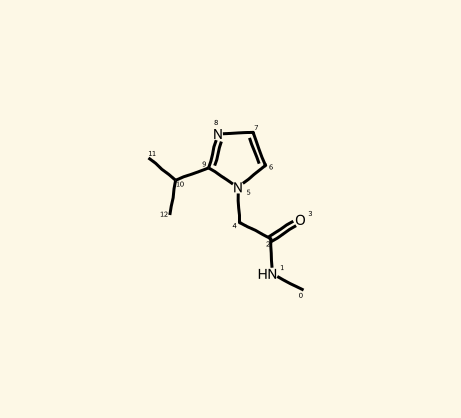 CNC(=O)Cn1ccnc1C(C)C